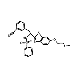 COCCOc1ccc2nc(C(Cc3cccc(C#N)c3)NS(=O)(=O)c3ccccc3)sc2c1